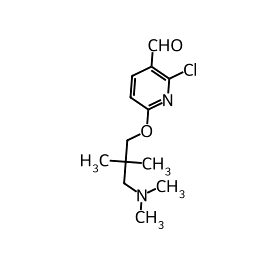 CN(C)CC(C)(C)COc1ccc(C=O)c(Cl)n1